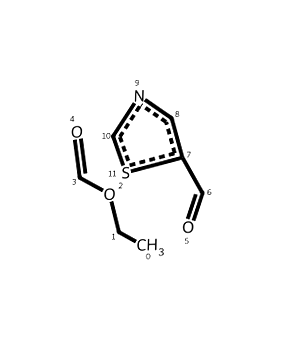 CCOC=O.O=Cc1cncs1